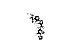 CC(C)(C)OC(=O)Nc1ccnc(-n2ncc(C(=O)NC3=CC(Cl)=C(n4nccn4)NC3)c2C(F)(F)F)c1Cl